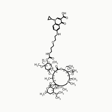 CC[C@H]1OC(=O)[C@H](C)[C@@H](O[C@H]2C[C@@](C)(OC)[C@@H](OC(=O)NCCCOCCNc3ccc4c(c3)c(=O)c(C(=O)O)cn4C3CC3)[C@H](C)O2)[C@H](C)[C@@H](O[C@@H]2O[C@H](C)C[C@H](N(C)C)[C@H]2O)[C@](C)(O)C[C@@H](C)CN(C)[C@H](C)[C@@H](OC)[C@]1(C)O